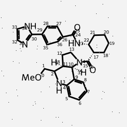 COCC1Nc2ccccc2[C@H]2[C@@H]1CCN2C(=O)[C@H]1CCCC[C@H]1NC(=O)c1ccc(-c2ncc[nH]2)cc1